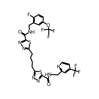 O=C(NCc1cc(C(F)(F)F)ccn1)c1nnc(CCCCc2nnc(C(=O)NCc3cc(OC(F)(F)F)ccc3F)s2)s1